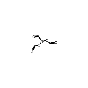 O=CON(C=O)OC=O